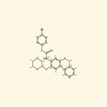 O=C(Cc1ccc(Br)cc1)Nc1nc2c(nc1CC1CCCCC1)-c1ccccc1CC2